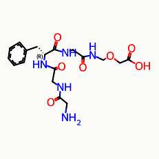 NCC(=O)NCC(=O)N[C@H](Cc1ccccc1)C(=O)NCC(=O)NCOCC(=O)O